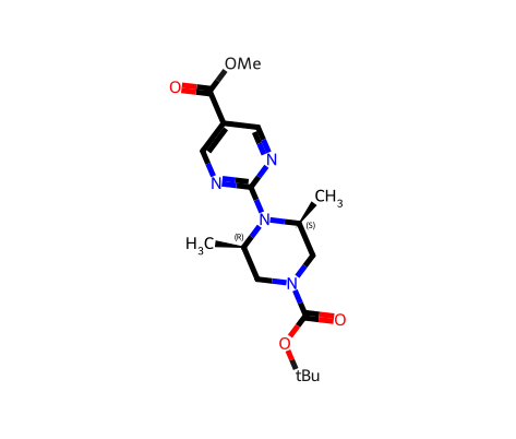 COC(=O)c1cnc(N2[C@H](C)CN(C(=O)OC(C)(C)C)C[C@@H]2C)nc1